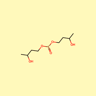 CC(O)CCOS(=O)OCCC(C)O